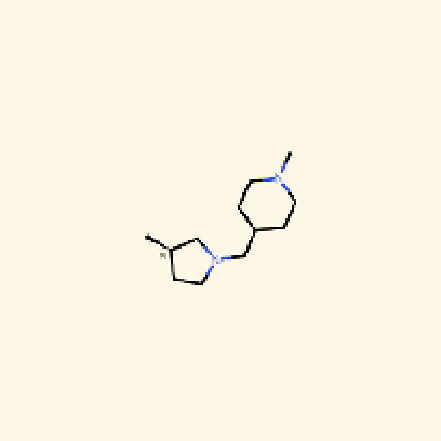 C[C@@H]1CCN(CC2CCN(C)CC2)C1